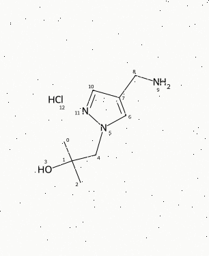 CC(C)(O)Cn1cc(CN)cn1.Cl